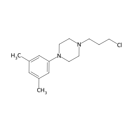 Cc1cc(C)cc(N2CCN(CCCCl)CC2)c1